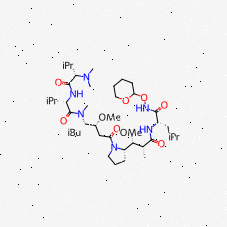 CC[C@H](C)[C@@H]([C@@H](CC(=O)N1CCC[C@H]1[C@H](OC)[C@@H](C)C(=O)N[C@@H](CC(C)C)C(=O)NOC1CCCCO1)OC)N(C)C(=O)[C@@H](NC(=O)[C@H](C(C)C)N(C)C)C(C)C